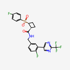 O=C(NCc1ccc(F)c(-c2cnc(C(F)(F)F)nc2)c1)[C@@H]1CC[C@@H]1S(=O)(=O)c1ccc(F)cc1